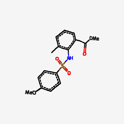 COC(=O)c1cccc(C)c1NS(=O)(=O)c1ccc(OC)cc1